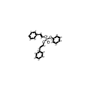 O=P(OC=Cc1ccccc1)(OC=Cc1ccccc1)Oc1ccccc1